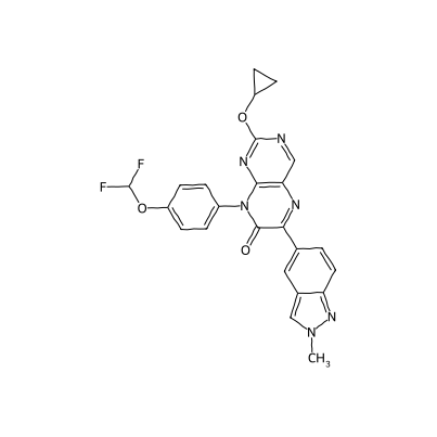 Cn1cc2cc(-c3nc4cnc(OC5CC5)nc4n(-c4ccc(OC(F)F)cc4)c3=O)ccc2n1